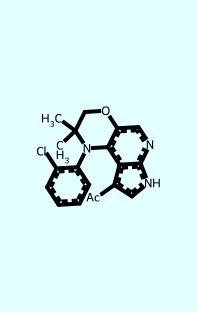 CC(=O)c1c[nH]c2ncc3c(c12)N(c1ccccc1Cl)C(C)(C)CO3